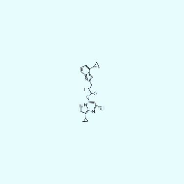 O=C(NCc1cn2c(C3CC3)cccc2n1)Oc1cc(Cl)nc2c(C3CC3)cnn12